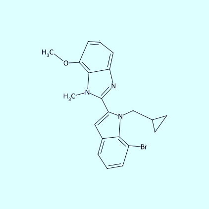 COc1c[c]cc2nc(-c3cc4cccc(Br)c4n3CC3CC3)n(C)c12